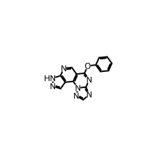 c1ccc(Oc2nc3ncnn3c3c2cnc2[nH]ncc23)cc1